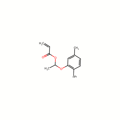 C=CC(=O)OC(C)Oc1cc(C)ccc1CCC